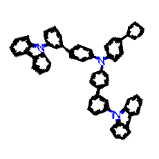 c1ccc(-c2ccc(N(c3ccc(-c4cccc(-n5c6ccccc6c6ccccc65)c4)cc3)c3ccc(-c4cccc(-n5c6ccccc6c6ccccc65)c4)cc3)cc2)cc1